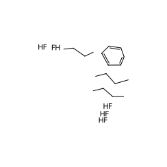 CCCC.CCCC.CCCC.F.F.F.F.F.c1ccccc1